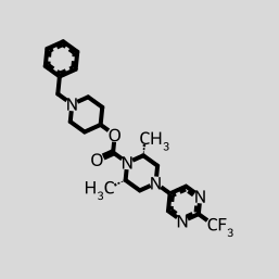 C[C@@H]1CN(c2cnc(C(F)(F)F)nc2)C[C@H](C)N1C(=O)OC1CCN(Cc2ccccc2)CC1